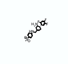 CS(=O)(=O)c1ccc(NCC2=CC[C@@H](c3cc(F)c(F)cc3F)[C@H](N)C2)cc1